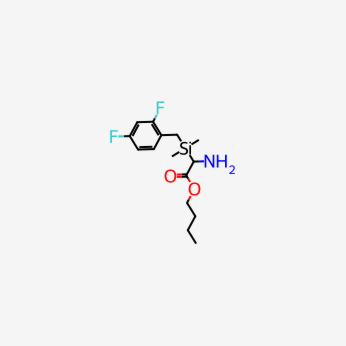 CCCCOC(=O)C(N)[Si](C)(C)Cc1ccc(F)cc1F